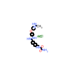 CC(=N)N1CCC(Oc2ccc(NC(=N)c3ccc4ccc(CNC(=O)C(N)=O)cc4c3)cc2)CC1.Cl.Cl